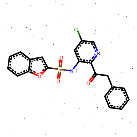 O=C(Cc1ccccc1)c1ncc(Cl)cc1NS(=O)(=O)c1cc2ccccc2o1